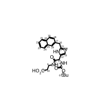 CC(C)(C)OC(=O)N[C@H](C(=O)NCCC(=O)O)c1cnc(Cc2ccc3ccccc3c2)[nH]1